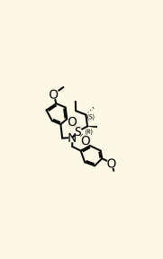 CC[C@H](C)[C@@H](C)S(=O)(=O)N(Cc1ccc(OC)cc1)Cc1ccc(OC)cc1